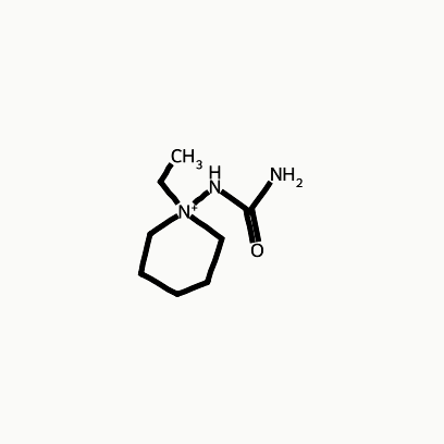 CC[N+]1(NC(N)=O)CCCCC1